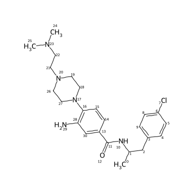 CC(Cc1ccc(Cl)cc1)NC(=O)c1ccc(N2CCN(CCN(C)C)CC2)c(N)c1